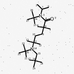 CC(C)N(C(=O)C(C)(C)CCC(C)(C)N(CC(C)(C)C)C(C)(C)C)C(C)(C)C